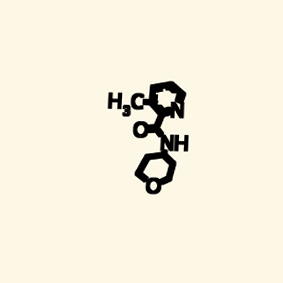 Cc1cccnc1C(=O)NC1CCOCC1